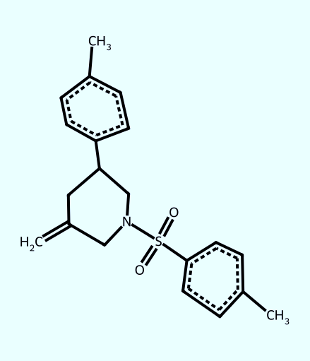 C=C1CC(c2ccc(C)cc2)CN(S(=O)(=O)c2ccc(C)cc2)C1